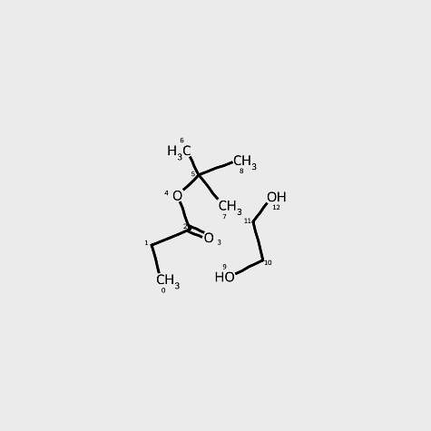 CCC(=O)OC(C)(C)C.OCCO